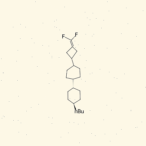 CCCC[C@H]1CC[C@H](C2CCC(C3CC(=C(F)F)C3)CC2)CC1